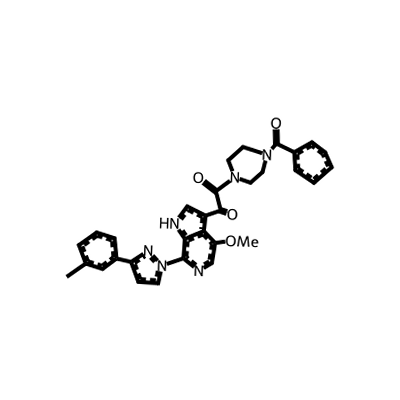 COc1cnc(-n2ccc(-c3cccc(C)c3)n2)c2[nH]cc(C(=O)C(=O)N3CCN(C(=O)c4ccccc4)CC3)c12